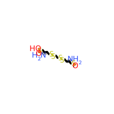 N[C@@H](CCSSCCSSCC[C@H](N)CS(=O)O)C[S]=O